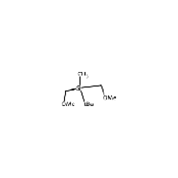 COC[Si](C)(COC)C(C)(C)C